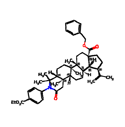 C=C(C)[C@@H]1CC[C@]2(C(=O)OCc3ccccc3)CC[C@]3(C)[C@H](CC[C@@H]4[C@@]5(C)CC(=O)N(c6ccc(C(=O)OCC)cc6)C(C)(C)[C@@H]5CC[C@]43C)[C@@H]12